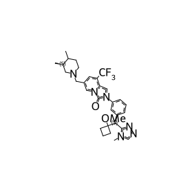 COC1([C@@H](c2cccc(-n3cc4c(C(F)(F)F)cc(CN5CCC(C)[C@H](C)C5)cn4c3=O)c2)c2nncn2C)CCC1